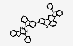 c1ccc(-c2nc(-n3c4ccccc4c4cc(-c5ccc6c(c5)Sc5cccc7c5c-6cc5c7c6ccccc6n5-c5ccccc5)ccc43)nc3c2Cc2ccccc2-3)cc1